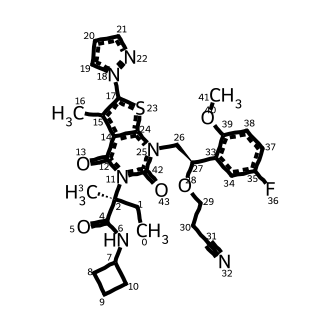 CC[C@@](C)(C(=O)NC1CCC1)n1c(=O)c2c(C)c(-n3cccn3)sc2n(C[C@H](OCCC#N)c2cc(F)ccc2OC)c1=O